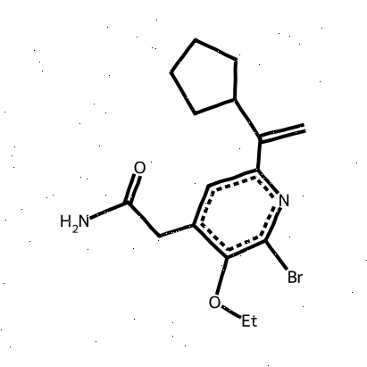 C=C(c1cc(CC(N)=O)c(OCC)c(Br)n1)C1CCCC1